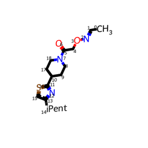 CC=NOCC(=O)N1CCC(c2nc(C(C)CCC)cs2)CC1